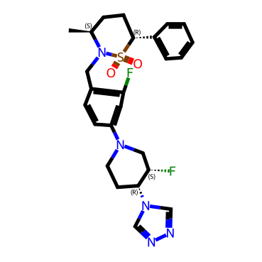 C[C@H]1CC[C@H](c2ccccc2)S(=O)(=O)N1Cc1ccc(N2CC[C@@H](n3cnnc3)[C@@H](F)C2)cc1F